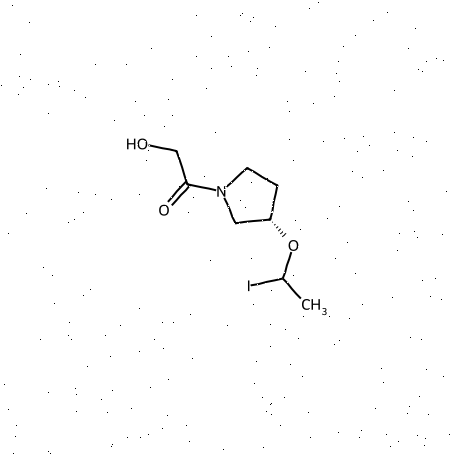 CC(I)O[C@H]1CCN(C(=O)CO)C1